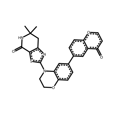 CC1(C)Cc2nc(N3CCOc4ccc(-c5ccc6occc(=O)c6c5)cc43)sc2C(=O)N1